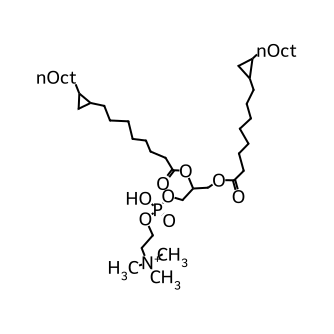 CCCCCCCCC1CC1CCCCCCCC(=O)OCC(COP(=O)(O)OCC[N+](C)(C)C)OC(=O)CCCCCCCC1CC1CCCCCCCC